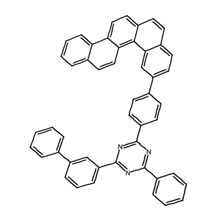 c1ccc(-c2cccc(-c3nc(-c4ccccc4)nc(-c4ccc(-c5ccc6ccc7ccc8c9ccccc9ccc8c7c6c5)cc4)n3)c2)cc1